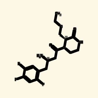 CCOC[C@@H]1C(=O)NCCN1C(=O)C[C@H](N)Cc1cc(F)c(F)cc1F